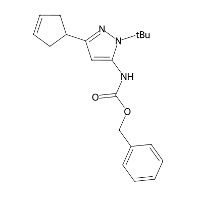 CC(C)(C)n1nc(C2CC=CC2)cc1NC(=O)OCc1ccccc1